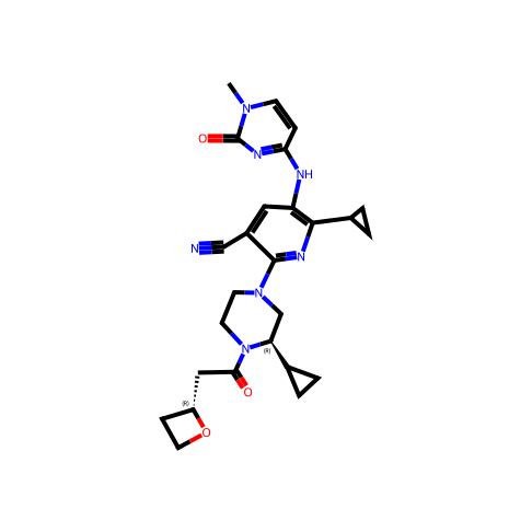 Cn1ccc(Nc2cc(C#N)c(N3CCN(C(=O)C[C@H]4CCO4)[C@H](C4CC4)C3)nc2C2CC2)nc1=O